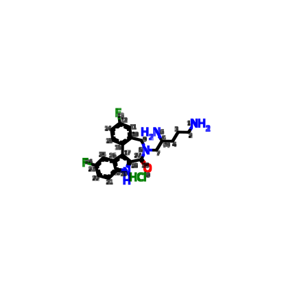 Cl.NCCC[C@H](N)CN1Cc2cc(F)ccc2-c2c([nH]c3ccc(F)cc23)C1=O